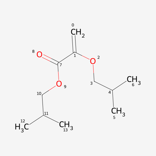 C=C(OCC(C)C)C(=O)OCC(C)C